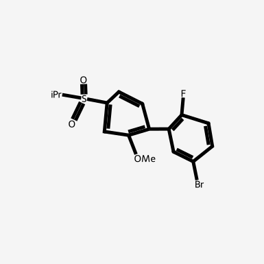 COc1cc(S(=O)(=O)C(C)C)ccc1-c1cc(Br)ccc1F